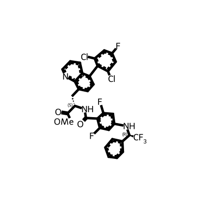 COC(=O)[C@H](Cc1ccc(-c2c(Cl)cc(F)cc2Cl)c2cccnc12)NC(=O)c1c(F)cc(N[C@H](c2ccccc2)C(F)(F)F)cc1F